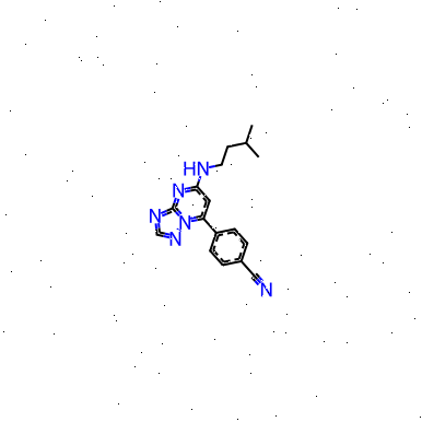 CC(C)CCNc1cc(-c2ccc(C#N)cc2)n2ncnc2n1